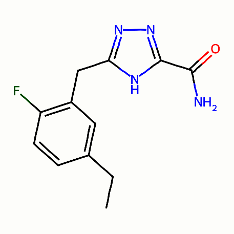 CCc1ccc(F)c(Cc2nnc(C(N)=O)[nH]2)c1